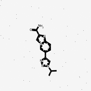 CC(C)n1cc(-c2ccc3nc(C(N)=O)cn3c2)nn1